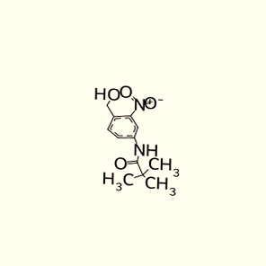 CC(C)(C)C(=O)Nc1ccc(CO)c([N+](=O)[O-])c1